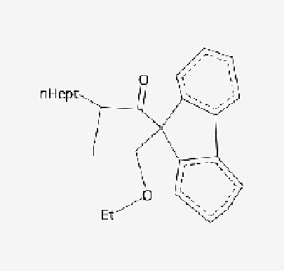 CCCCCCCC(I)C(=O)C1(COCC)c2ccccc2-c2ccccc21